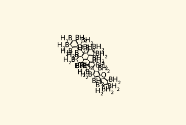 Bc1c(B)c(-c2c3c(B)c(B)c(B)c(B)c3c(-c3c(B)c(B)c4c(B)c(B)c(B)c(B)c4c3B)c3c(B)c(B)c(B)c(B)c23)c(B)c(B)c1-c1c(B)c(B)c2c(oc3c(B)c(B)c(B)c(B)c32)c1B